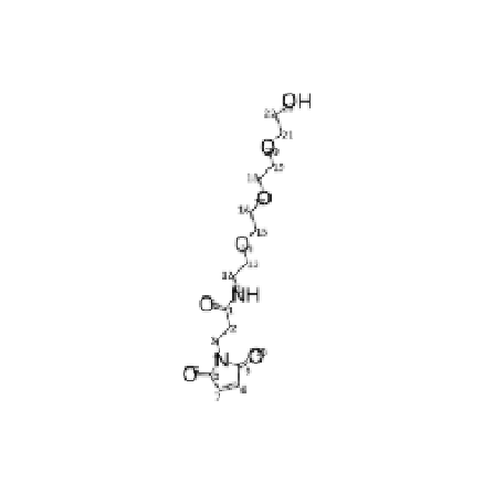 O=C(CCN1C(=O)C=CC1=O)NCCOCCOCCOCCO